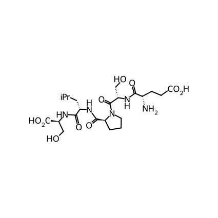 CC(C)C[C@H](NC(=O)[C@@H]1CCCN1C(=O)[C@H](CO)NC(=O)[C@@H](N)CCC(=O)O)C(=O)N[C@@H](CO)C(=O)O